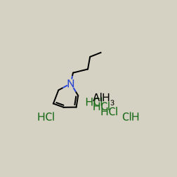 CCCCN1C=CC=CC1.Cl.Cl.Cl.Cl.Cl.[AlH3]